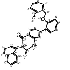 O=c1[nH]c2cc(-c3ccccc3OCc3ccccc3Cl)ccc2c(=O)n1-c1cccc2ccccc12